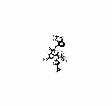 CC(C)(C)[C@@H](C(=O)N1CC(O)CC1C(=O)NCc1cccc2c1NC(=O)CO2)n1cc(C2CC2)nn1